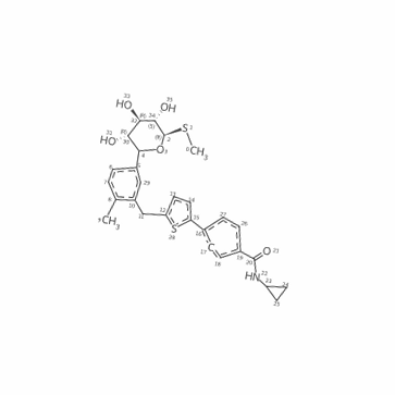 CS[C@H]1OC(c2ccc(C)c(Cc3ccc(-c4ccc(C(=O)NC5CC5)cc4)s3)c2)[C@H](O)[C@@H](O)[C@@H]1O